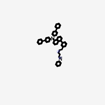 C(=C/Cc1cccc(-c2cccc3c(N(c4ccc(-c5ccccc5)cc4)c4ccc(-c5ccccc5)cc4)cccc23)c1)/C/C=N/c1ccccc1